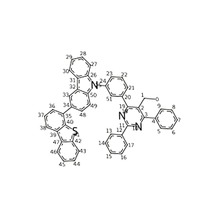 CCc1c(-c2ccccc2)nc(-c2ccccc2)nc1-c1cccc(-n2c3ccccc3c3cc(-c4cccc5c4sc4ccccc45)ccc32)c1